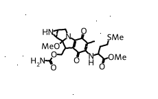 COC(=O)C(CCSC)NC1=C(C)C(=O)C2=C(C1=O)C(COC(N)=O)C1(OC)C3NC3CN21